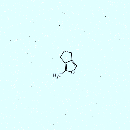 Cc1occ2c1CCC2